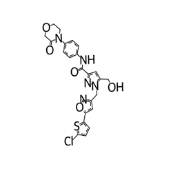 O=C(Nc1ccc(N2CCOCC2=O)cc1)c1cc(CO)n(Cc2cc(-c3ccc(Cl)s3)on2)n1